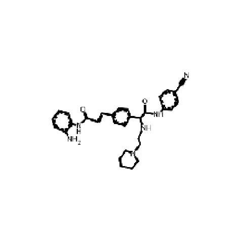 N#Cc1ccc(NC(=O)C(NCCN2CCCCC2)c2ccc(/C=C/C(=O)Nc3ccccc3N)cc2)cc1